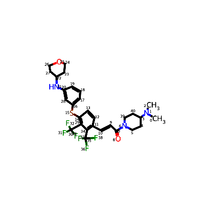 CN(C)C1CCN(C(=O)C=Cc2ccc(Sc3cccc(NC4CCOCC4)c3)c(C(F)(F)F)c2C(F)(F)F)CC1